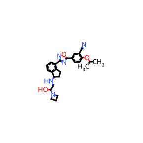 CC(C)Oc1ccc(-c2nc(-c3cccc4c3CC[C@H]4NCC(O)N3CCC3)no2)cc1C#N